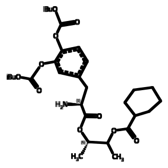 CC(C)COC(=O)Oc1ccc(C[C@H](N)C(=O)O[C@@H](C)C(C)OC(=O)C2CCCCC2)cc1OC(=O)OCC(C)C